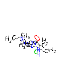 C=CC(N)=O.C=CCNCC=C.C=CC[N+](C)(C)CC=C.[Cl-]